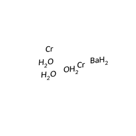 O.O.O.[BaH2].[Cr].[Cr]